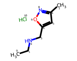 CCNCc1cc(C)no1.Cl